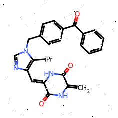 C=c1[nH]c(=O)c(=Cc2ncn(Cc3ccc(C(=O)c4ccccc4)cc3)c2C(C)C)[nH]c1=O